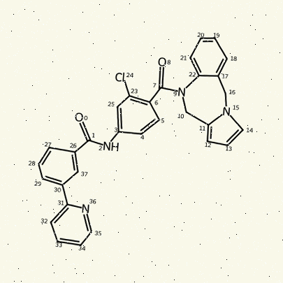 O=C(Nc1ccc(C(=O)N2Cc3cccn3Cc3ccccc32)c(Cl)c1)c1cccc(-c2ccccn2)c1